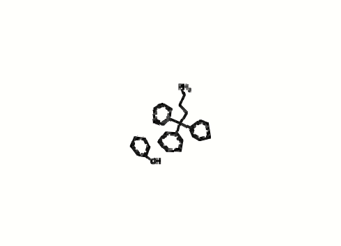 Oc1ccccc1.PCCCC(c1ccccc1)(c1ccccc1)c1ccccc1